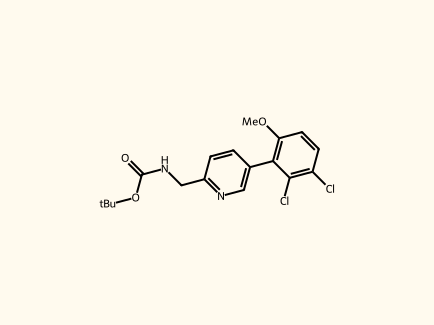 COc1ccc(Cl)c(Cl)c1-c1ccc(CNC(=O)OC(C)(C)C)nc1